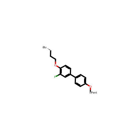 CCCCCOc1ccc(-c2ccc(OCCC[C@@H](C)CC)c(F)c2)cc1